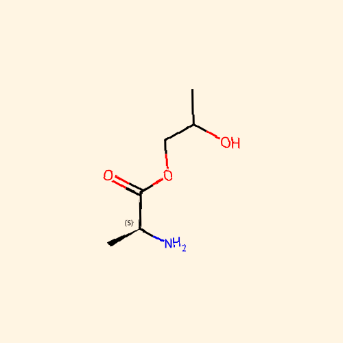 CC(O)COC(=O)[C@H](C)N